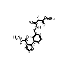 C[C@@H](C(=O)NCc1cccc(-c2ocnc2C(=O)NN)c1)C(=O)OC(C)(C)C